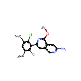 COc1cc(OC)c(Cl)c(-c2cc3cnc(N)cc3c(OC(C)C)n2)c1Cl